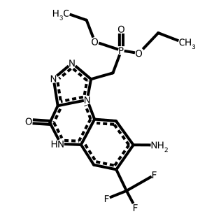 CCOP(=O)(Cc1nnc2c(=O)[nH]c3cc(C(F)(F)F)c(N)cc3n12)OCC